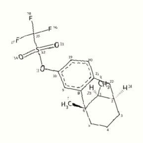 C[C@H]1[C@@H]2CCC[C@]1(C)c1cc(OS(=O)(=O)C(F)(F)F)ccc1C2